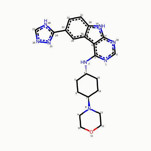 c1nc(N[C@H]2CC[C@H](N3CCOCC3)CC2)c2c(n1)[nH]c1ccc(-c3nnc[nH]3)cc12